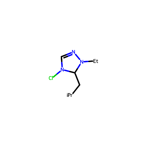 CCN1N=CN(Cl)C1CC(C)C